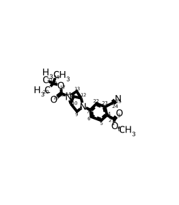 COC(=O)c1ccc(N2CC3CC2CN3C(=O)OC(C)(C)C)cc1C#N